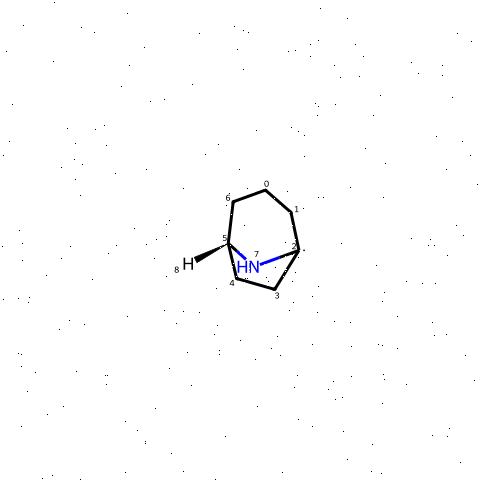 C1C[C]2CC[C@H](C1)N2